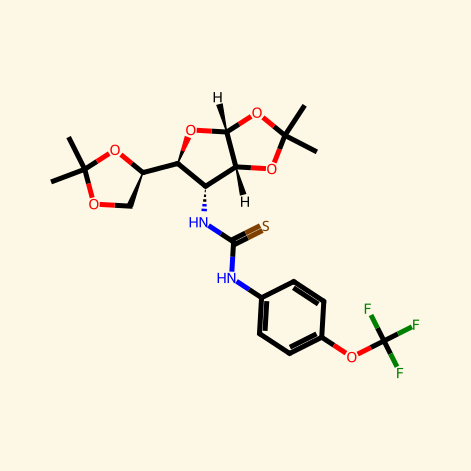 CC1(C)O[C@H]2O[C@H]([C@H]3COC(C)(C)O3)[C@@H](NC(=S)Nc3ccc(OC(F)(F)F)cc3)[C@H]2O1